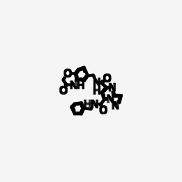 O=C1COc2ccc(CNC(=O)c3cc(C(=O)NCc4ccccc4)n4nccc4n3)cc2N1